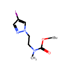 CN(CCn1cc(I)cn1)C(=O)OC(C)(C)C